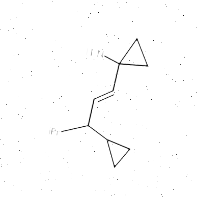 CC(C)C(/C=C/C1(N)CC1)C1CC1